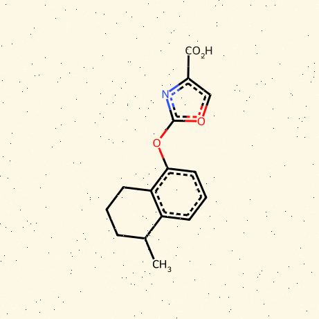 CC1CCCc2c(Oc3nc(C(=O)O)co3)cccc21